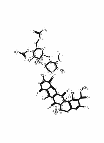 COC(=O)c1c(C)cc2c(c1O)[C@]1(O)C(=O)c3cc4c(c(O)c3C(=O)[C@]1(OC)[C@H](O)C2)C(=O)C=C(N[C@H]1O[C@@H](C)[C@H](OC)[C@@H](O[C@@H]2O[C@H](COC(C)=O)[C@@H](OC(C)=O)[C@H](C)[C@H]2C)[C@H]1CO)C4=O